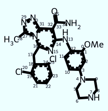 COc1cc(N2CCNCC2)ccc1Nc1nc(Cc2c(Cl)cccc2Cl)n2c(C)nnc2c1C(N)=O